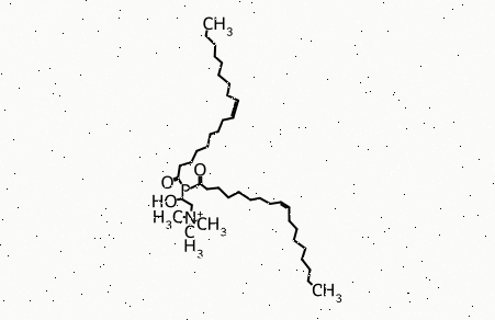 CCCCCCCC/C=C\CCCCCCCC(=O)P(C(=O)CCCCCCC/C=C\CCCCCCCC)C(O)C[N+](C)(C)C